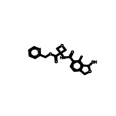 Cc1c(C(=O)NC2(C(=O)OCc3ccccn3)COC2)ccc2c1B(O)OC2